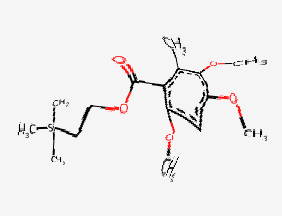 COc1cc(OC)c(C(=O)OCC[Si](C)(C)C)c(C)c1OC